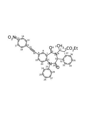 CCOC(=O)CC(C)N1C(=O)c2cc(C#Cc3ccc([N+](=O)[O-])cc3)ccc2N(c2ccccc2)C(=O)C1c1ccccc1